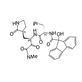 CNC(=O)C(=O)[C@@H](C[C@@H]1CCNC1=O)NC(=O)[C@H](CC(C)C)NC(=O)C1(O)c2ccccc2-c2ccccc21